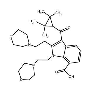 CC1(C)C(C(=O)c2c(CCN3CCOCC3)n(CCN3CCOCC3)c3c(C(=O)O)cccc23)C1(C)C